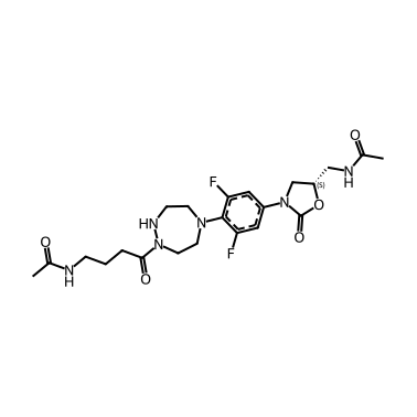 CC(=O)NCCCC(=O)N1CCN(c2c(F)cc(N3C[C@H](CNC(C)=O)OC3=O)cc2F)CCN1